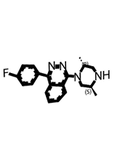 C[C@@H]1CN[C@@H](C)CN1c1nnc(-c2ccc(F)cc2)c2ccccc12